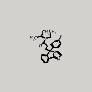 CCN(C(=O)CCC1(c2ccc(F)cc2)c2ccccc2-c2nccn21)C(C)C